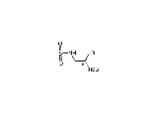 CCCC[C@H](CNS(C)(=O)=O)C(C)C